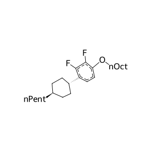 CCCCCCCCOc1ccc([C@H]2CC[C@H](CCCCC)CC2)c(F)c1F